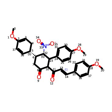 COC1=CC[C@H](C2CC(=O)C(C(=O)/C=C/c3ccc(OC)cc3)C(c3ccc(OC)cc3)[C@H]2[N+](=O)[O-])C=C1